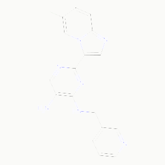 Nc1cnc(-c2cnc3ccc(F)cn23)nc1NCc1cccnc1